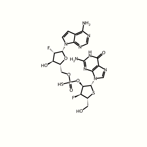 Nc1nc2c(ncn2[C@@H]2S[C@H](CO)[C@@H](F)[C@H]2OP(=O)(S)OC[C@H]2O[C@@H](n3ccc4c(N)ncnc43)[C@@H](F)[C@@H]2O)c(=O)[nH]1